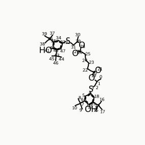 CC(CSc1cc(C(C)(C)C)c(O)c(C(C)(C)C)c1)OC(=O)CCCCC(=O)OC(C)CSc1cc(C(C)(C)C)c(O)c(C(C)(C)C)c1